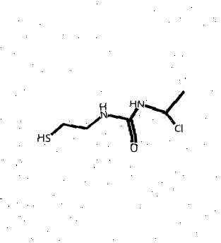 CC(Cl)NC(=O)NCCS